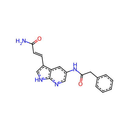 NC(=O)C=Cc1c[nH]c2ncc(NC(=O)Cc3ccccc3)cc12